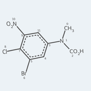 CN(C(=O)O)c1cc(Br)c(Cl)c([N+](=O)[O-])c1